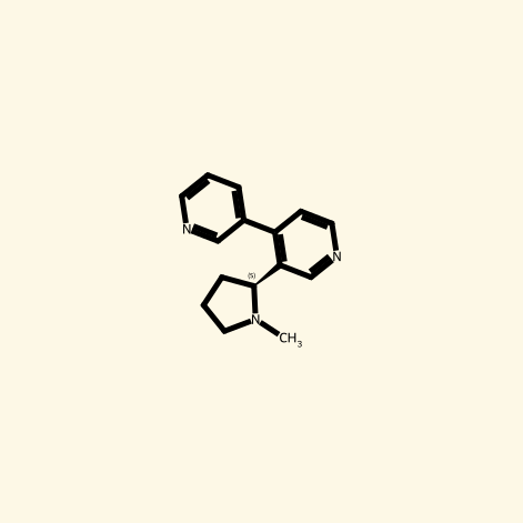 CN1CCC[C@H]1c1cnccc1-c1cccnc1